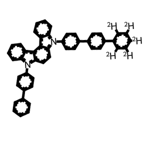 [2H]c1c([2H])c([2H])c(-c2ccc(-c3ccc(-n4c5ccccc5c5c6c7ccccc7n(-c7ccc(-c8ccccc8)cc7)c6ccc54)cc3)cc2)c([2H])c1[2H]